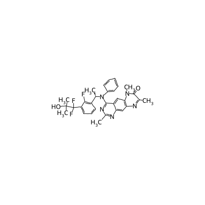 Cc1nc(N(c2ccccc2)[C@H](C)c2cccc(C(F)(F)C(C)(C)O)c2F)c2cc3c(cc2n1)nc(C)c(=O)n3C